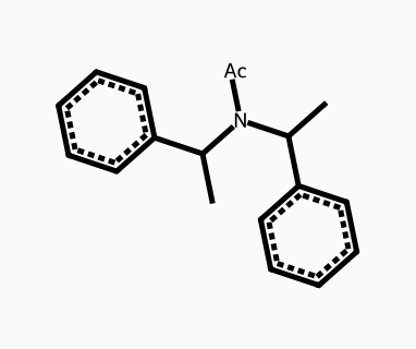 CC(=O)N(C(C)c1ccccc1)C(C)c1ccccc1